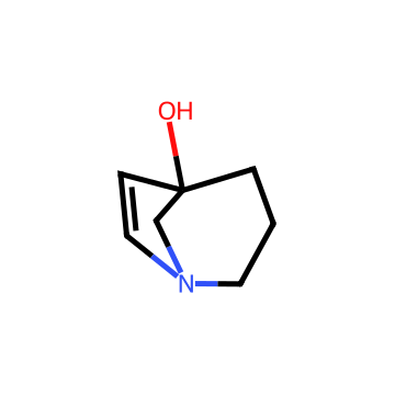 OC12C=CN(CCC1)C2